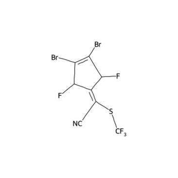 N#CC(SC(F)(F)F)=C1C(F)C(Br)=C(Br)C1F